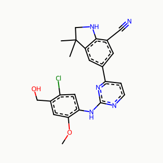 COc1cc(CO)c(Cl)cc1Nc1nccc(-c2cc(C#N)c3c(c2)C(C)(C)CN3)n1